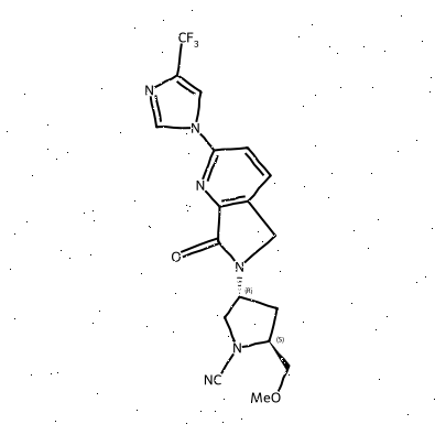 COC[C@@H]1C[C@@H](N2Cc3ccc(-n4cnc(C(F)(F)F)c4)nc3C2=O)CN1C#N